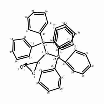 O=C1OC1N([Si](c1ccccc1)(c1ccccc1)c1ccccc1)[Si](c1ccccc1)(c1ccccc1)c1ccccc1